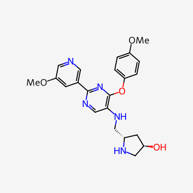 COc1ccc(Oc2nc(-c3cncc(OC)c3)ncc2NC[C@@H]2C[C@@H](O)CN2)cc1